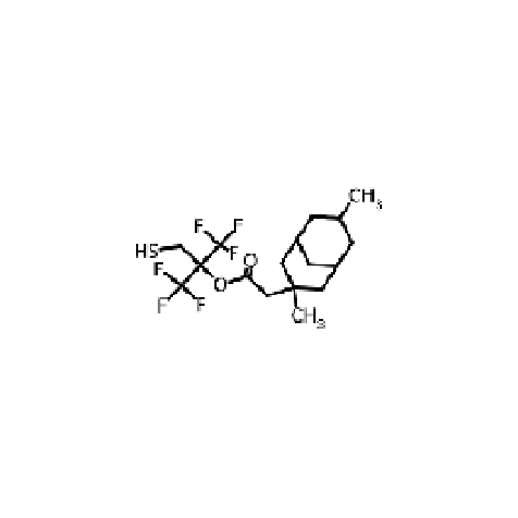 CC1CC2CC(C1)CC(C)(CC(=O)OC(CS)(C(F)(F)F)C(F)(F)F)C2